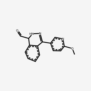 COc1ccc(C2=NNC(C=O)c3ccccc32)cn1